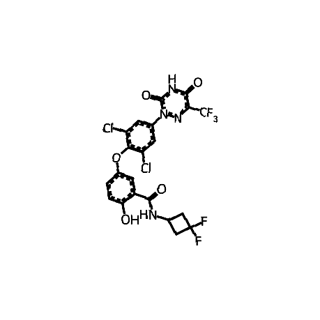 O=C(NC1CC(F)(F)C1)c1cc(Oc2c(Cl)cc(-n3nc(C(F)(F)F)c(=O)[nH]c3=O)cc2Cl)ccc1O